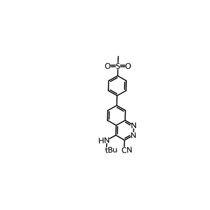 CC(C)(C)Nc1c(C#N)nnc2cc(-c3ccc(S(C)(=O)=O)cc3)ccc12